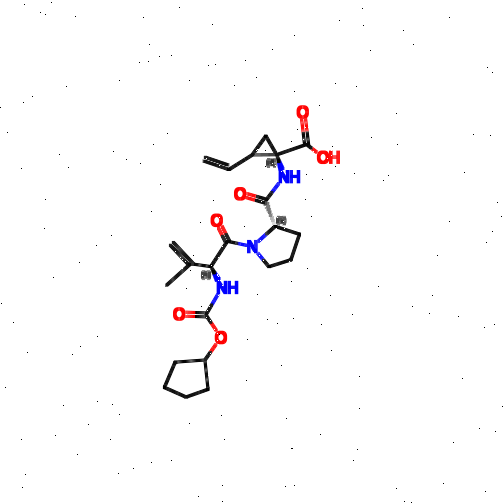 C=CC1C[C@]1(NC(=O)[C@@H]1CCCN1C(=O)[C@@H](NC(=O)OC1CCCC1)C(=C)C)C(=O)O